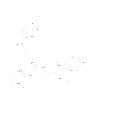 CCOC(=O)N1CCN(C(=O)C(CCC(=O)O)NC(=O)c2cc(OCC(=O)N3CCC(O)CC3)c3cccc(F)c3n2)CC1